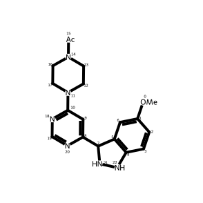 COc1ccc2c(c1)C(c1cc(N3CCN(C(C)=O)CC3)ncn1)NN2